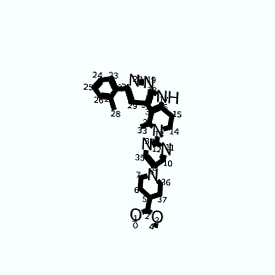 COC(OC)C1CCN(c2cnc(N3CCc4[nH]c5nnc(-c6ccccc6C)cc5c4C3C)nc2)CC1